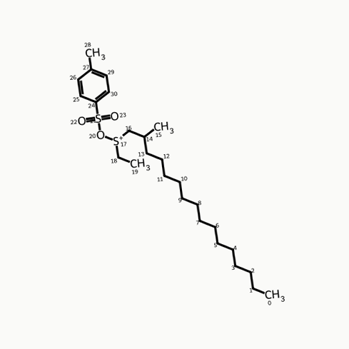 CCCCCCCCCCCCCCC(C)C[S+](CC)OS(=O)(=O)c1ccc(C)cc1